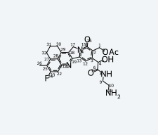 CC(=O)OCc1c(C(O)C(=O)NCCN)cc2n(c1=O)Cc1c-2nc2cc(F)c(C)c3c2c1CCC3